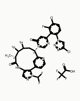 O=C(O)C(F)(F)F.[2H]C1C[C@H](n2cnc(-c3c(-n4cc(Cl)nn4)ccc(Cl)c3F)cc2=O)c2cc(ccn2)-c2c(cnn2C(F)F)NC(=O)[C@H](C)C1[2H]